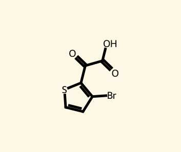 O=C(O)C(=O)c1sccc1Br